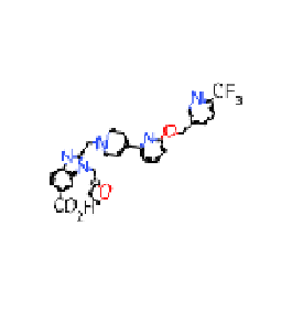 O=C(O)c1ccc2nc(CN3CC=C(c4cccc(OCc5ccc(C(F)(F)F)nc5)n4)CC3)n(C[C@@H]3CCO3)c2c1